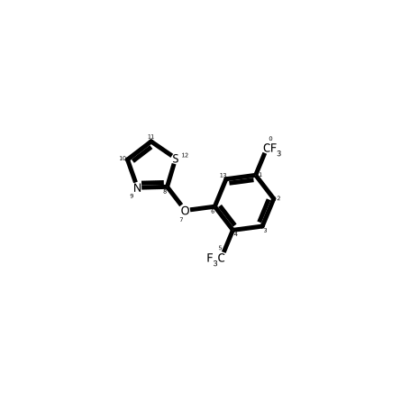 FC(F)(F)c1ccc(C(F)(F)F)c(Oc2n[c]cs2)c1